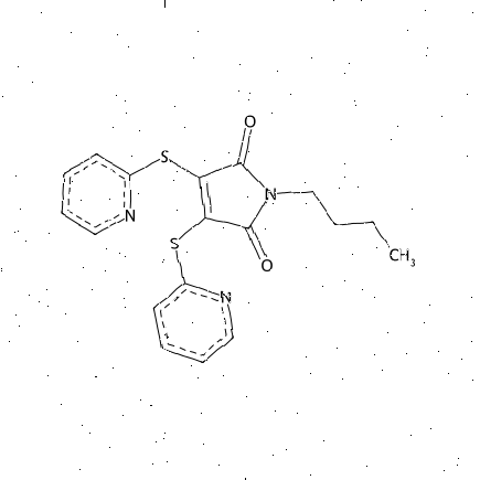 CCCCN1C(=O)C(Sc2ccccn2)=C(Sc2ccccn2)C1=O